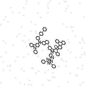 c1ccc(-c2ccc(-c3cccc(N(c4ccc5c(-c6ccc7c(c6)c6c8oc9c(ccc%10c%11ccccc%11c%11ccccc%11c%109)c8c8ccccc8c6n7-c6ccc(-c7nc(-c8ccccc8)nc(-c8ccccc8)n7)nc6)cccc5c4)c4ccc5c(c4)c4ccccc4n5-c4ccccc4)c3)cc2)cc1